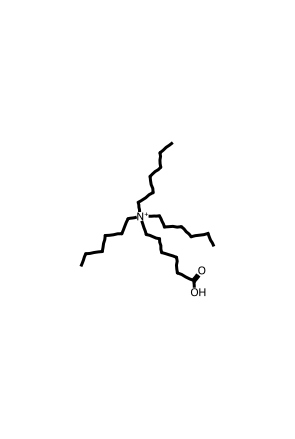 CCCCCC[N+](CCCCCC)(CCCCCC)CCCCCC(=O)O